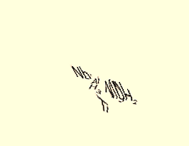 [AlH3].[MgH2].[Nb].[Ti]